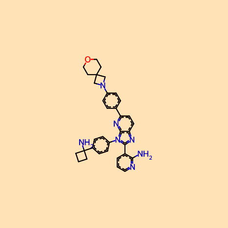 Nc1ncccc1-c1nc2ccc(-c3ccc(N4CC5(CCOCC5)C4)cc3)nc2n1-c1ccc(C2(N)CCC2)cc1